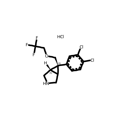 Cl.FC(F)(F)COC[C@@]1(c2ccc(Cl)c(Cl)c2)C2CNC[C@@H]21